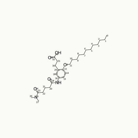 CCCCCCCCCCCCOc1ccc(NC(=O)CCCC(=O)N(C)C)cc1CCC(=O)O